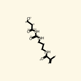 C=C(C)C(=O)NCCCNC(=O)NC(=O)CCCl